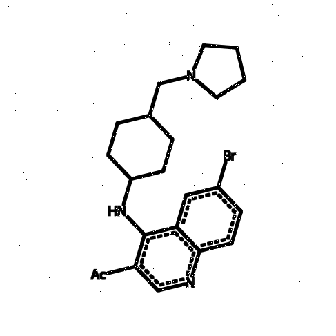 CC(=O)c1cnc2ccc(Br)cc2c1NC1CCC(CN2CCCC2)CC1